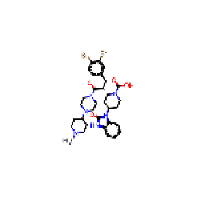 CN1CCC(N2CCN(C(=O)C(Cc3ccc(Br)c(Br)c3)[C@H]3CC(n4c(=O)[nH]c5ccccc54)CCN3C(=O)O)CC2)CC1